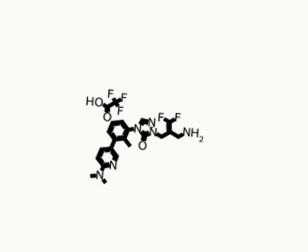 Cc1c(-c2ccc(N(C)C)nc2)cccc1-n1cnn(CC(CN)=C(F)F)c1=O.O=C(O)C(F)(F)F